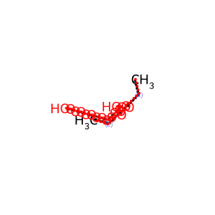 CCCCCCCC/C=C\CCCCCCCC(=O)OCC(COC(=O)CCCCCCC/C=C\CCCCCCCC)OC(CO)OCCOCCOCCOCCOCCOCCOCCOCCOCCOCCOCCO